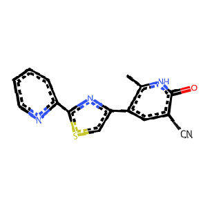 Cc1[nH]c(=O)c(C#N)cc1-c1csc(-c2ccccn2)n1